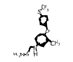 Cc1cc(NCSN)ccc1Oc1ccc(SC(F)(F)F)cc1